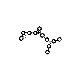 c1ccc(-c2ccc(N(c3ccc(-c4ccccc4)cc3)c3ccc(-c4ccc(-n5c6ccccc6c6cc(-c7ccc(-c8cccc9c8oc8ccccc89)cc7)ccc65)cc4)cc3)cc2)cc1